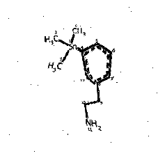 [CH3][Sn]([CH3])([CH3])[c]1cccc(CCN)c1